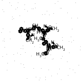 C=CC(=O)N1CCN(c2nc(OC[C@@H]3CC(c4ccc(N5CCc6c(nc(OC[C@H]7CN(C)CCO7)nc6N6CCN(C(=O)C=C)[C@@H](CC#N)C6)C5)c5ccccc45)CN3C)nc3c2CCN(c2ccc(C4CC45CO[C@@H](COc4nc6c(c(N7CCN(C(=O)C=C)[C@@H](CC#N)C7)n4)CCN(c4cccc7ccccc47)C6)CN5C)cc2C(F)F)C3)CC1CC#N